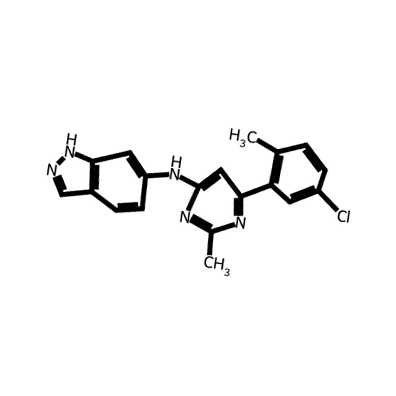 Cc1nc(Nc2ccc3cn[nH]c3c2)cc(-c2cc(Cl)ccc2C)n1